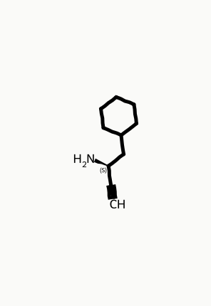 C#C[C@@H](N)CC1CCCCC1